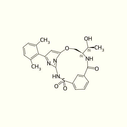 Cc1cccc(C)c1-c1cc2nc(n1)NS(=O)(=O)c1cccc(c1)C(=O)N[C@H]([C@H](C)O)CO2